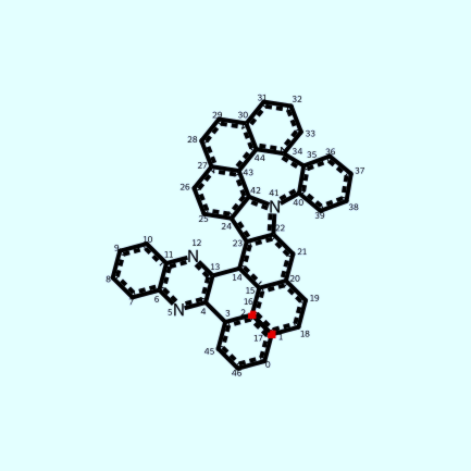 c1ccc(-c2nc3ccccc3nc2-c2c3ccccc3cc3c2c2ccc4ccc5cccc6c7ccccc7n3c2c4c56)cc1